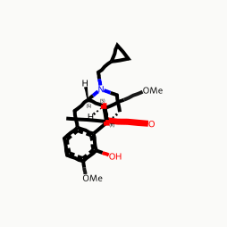 COc1ccc2c(c1O)[C@@]13CCN(CC4CC4)[C@@H](C2)[C@H]1CC(OC)C(=O)C3